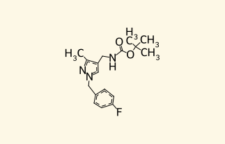 Cc1nn(Cc2ccc(F)cc2)cc1CNC(=O)OC(C)(C)C